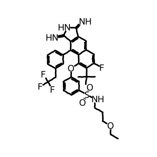 CCOCCCNS(=O)(=O)c1cccc(Oc2c(C(C)(C)C)c(F)cc3cc4c(c(-c5cccc(CC(F)(F)F)c5)c23)C(=N)NC4=N)c1